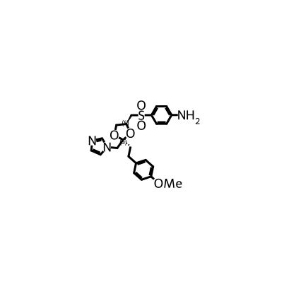 COc1ccc(CC[C@]2(Cn3ccnc3)OC[C@@H](CS(=O)(=O)c3ccc(N)cc3)O2)cc1